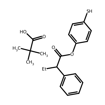 CC(C)(C)C(=O)O.CCC(C(=O)Oc1ccc(S)cc1)c1ccccc1